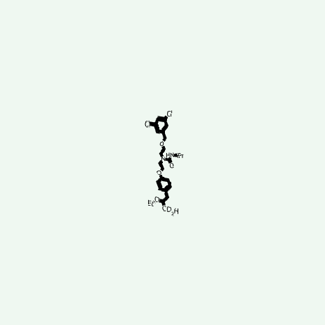 CCOC(Cc1ccc(OCCN(CCOCc2cc(Cl)cc(Cl)c2)C(=O)NC(C)C)cc1)C(=O)O